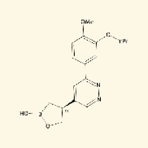 CCCOc1cc(-c2cc([C@H]3COB(O)C3)cnn2)ccc1OC